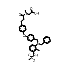 Cc1c(NS(C)(=O)=O)cccc1N(Cc1ccccc1)Cc1ccc(Oc2ccc(CCC(=O)N(C)CC(=O)O)cc2)cc1